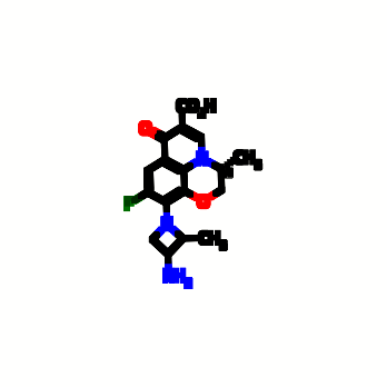 CC1C(N)CN1c1c(F)cc2c(=O)c(C(=O)O)cn3c2c1OC[C@H]3C